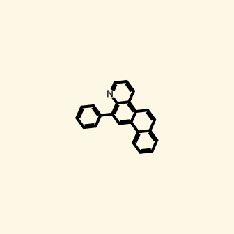 c1ccc(-c2cc3c4ccccc4ccc3c3cccnc23)cc1